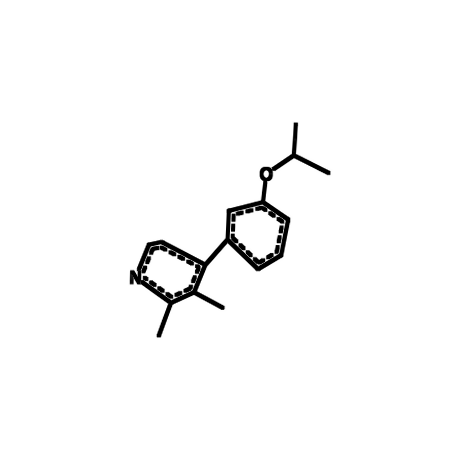 Cc1nccc(-c2cccc(OC(C)C)c2)c1C